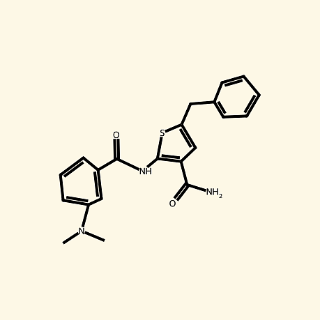 CN(C)c1cccc(C(=O)Nc2sc(Cc3ccccc3)cc2C(N)=O)c1